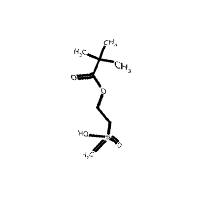 C=S(=O)(O)CCOC(=O)C(C)(C)C